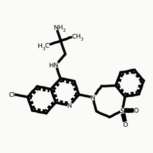 CC(C)(N)CNc1cc(N2CCS(=O)(=O)c3ccccc3C2)nc2ccc(Cl)cc12